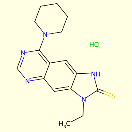 CCn1c(=S)[nH]c2cc3c(N4CCCCC4)ncnc3cc21.Cl